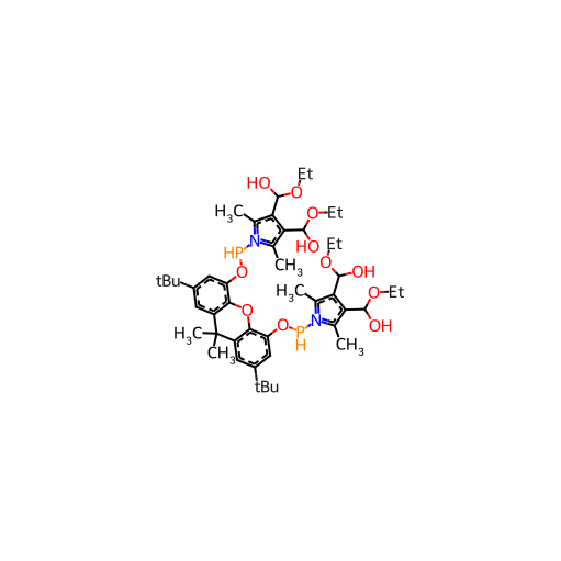 CCOC(O)c1c(C(O)OCC)c(C)n(POc2cc(C(C)(C)C)cc3c2Oc2c(OPn4c(C)c(C(O)OCC)c(C(O)OCC)c4C)cc(C(C)(C)C)cc2C3(C)C)c1C